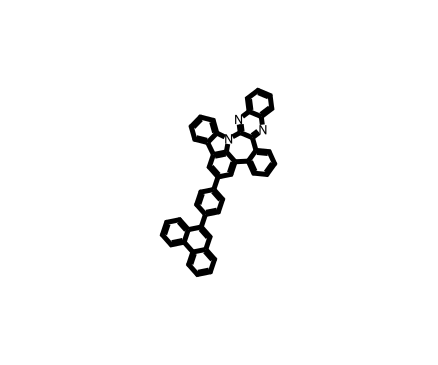 c1ccc2c(c1)-c1nc3ccccc3nc1-n1c3ccccc3c3cc(-c4ccc(-c5cc6ccccc6c6ccccc56)cc4)cc-2c31